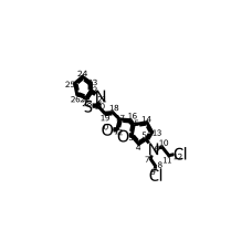 O=c1oc2cc(N(CCCl)CCCl)ccc2cc1/C=C/c1nc2ccccc2s1